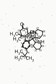 CC(C)(C)Cc1ccc(P2C(C)(C)CC(=O)CC2(C)C)c(C(P)(C2CCCCN2)C2CCCCN2)c1